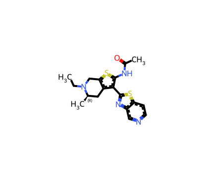 CCN1Cc2sc(NC(C)=O)c(-c3nc4cnccc4s3)c2C[C@H]1C